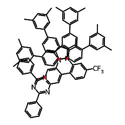 C=C/C=C(\C(=C/c1nc(-c2ccccc2)nc(-c2ccccc2)n1)c1ccc(C(F)(F)F)cc1-n1c2ccc(-c3cc(C)cc(C)c3)cc2c2cc(-c3cc(C)cc(C)c3)ccc21)n1c2ccc(-c3cc(C)cc(C)c3)cc2c2cc(-c3cc(C)cc(C)c3)ccc21